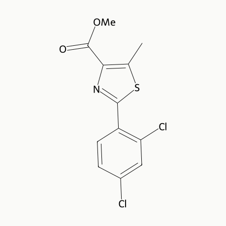 COC(=O)c1nc(-c2ccc(Cl)cc2Cl)sc1C